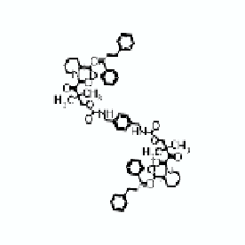 CC(C)(COC(=O)NCc1ccc(CNC(=O)OCC(C)(C)C(=O)C(=O)N2CCCC[C@H]2C(=O)O[C@H](CCc2ccccc2)c2ccccc2)cc1)C(=O)C(=O)N1CCCC[C@H]1C(=O)O[C@H](CCc1ccccc1)c1ccccc1